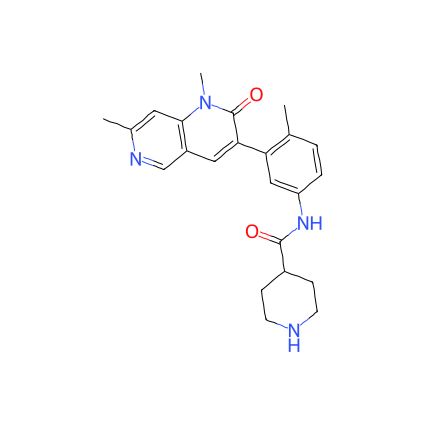 Cc1cc2c(cn1)cc(-c1cc(NC(=O)C3CCNCC3)ccc1C)c(=O)n2C